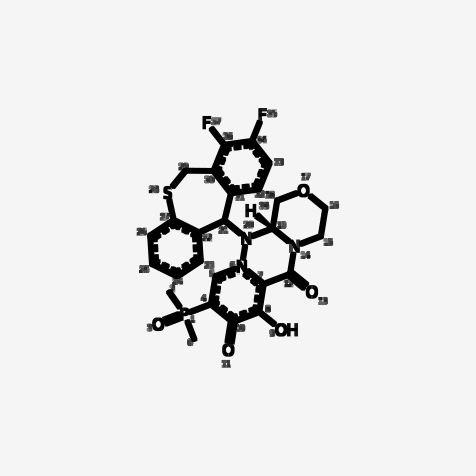 CP(C)(=O)c1cn2c(c(O)c1=O)C(=O)N1CCOC[C@H]1N2C1c2ccccc2SCc2c1ccc(F)c2F